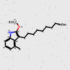 CCCCCCCCCCCCCCCCCCc1c(OC(=O)OCC)[nH]c2cccc(C)c12